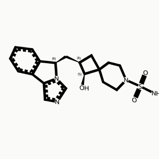 NS(=O)(=O)N1CCC2(CC1)C[C@H](C[C@@H]1c3ccccc3-c3cncn31)[C@@H]2O